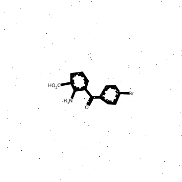 Nc1c(C(=O)O)cccc1C(=O)c1ccc(Br)cc1